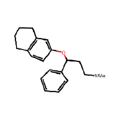 CNCCC(Oc1ccc2c(c1)CCCC2)c1ccccc1